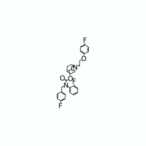 O=C(OC1C[N+]2(CCOc3ccc(F)cc3)CCC1CC2)N(Cc1ccc(F)cc1)c1ccccc1F